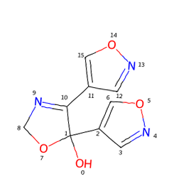 OC1(c2cnoc2)OCN=C1c1cnoc1